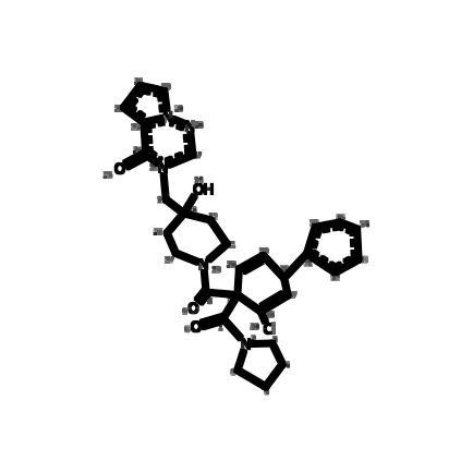 O=C(N1CCCC1)C1(C(=O)N2CCC(O)(Cn3cnn4cccc4c3=O)CC2)C=CC(c2ccccc2)C=C1Cl